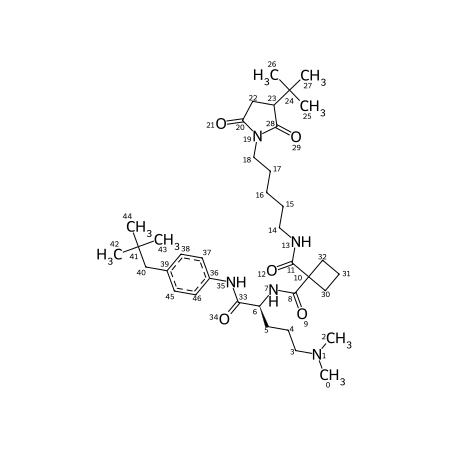 CN(C)CCC[C@H](NC(=O)C1(C(=O)NCCCCCN2C(=O)CC(C(C)(C)C)C2=O)CCC1)C(=O)Nc1ccc(CC(C)(C)C)cc1